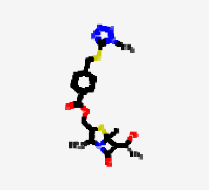 C[C@@H](O)[C@H]1C(=O)N2C(C(=O)O)=C(COC(=O)c3ccc(CSc4nnnn4C)cc3)S[C@H]12